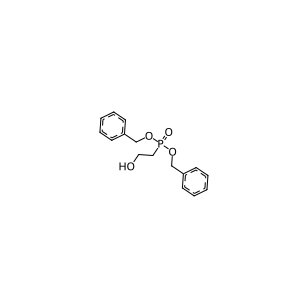 O=P(CCO)(OCc1ccccc1)OCc1ccccc1